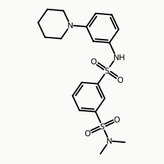 CN(C)S(=O)(=O)c1cccc(S(=O)(=O)Nc2cccc(N3CCCCC3)c2)c1